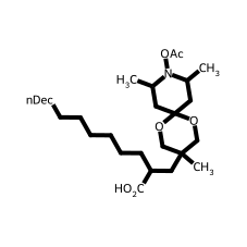 CCCCCCCCCCCCCCCCC(CC1(C)COC2(CC(C)N(OC(C)=O)C(C)C2)OC1)C(=O)O